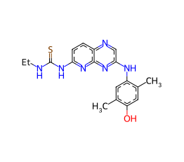 CCNC(=S)Nc1ccc2ncc(Nc3cc(C)c(O)cc3C)nc2n1